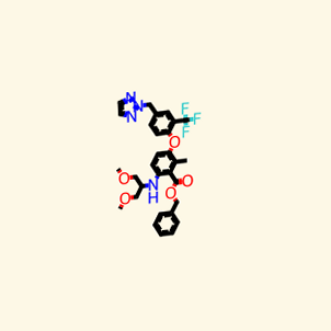 COCC(COC)Nc1ccc(Oc2ccc(Cn3nccn3)cc2C(F)(F)F)c(C)c1C(=O)OCc1ccccc1